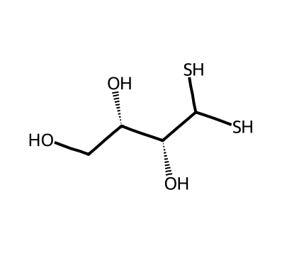 OC[C@H](O)[C@@H](O)C(S)S